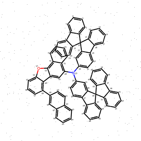 c1ccc2c(c1)-c1ccccc1C21c2ccccc2-c2ccc(N(c3ccc4c(c3)C3(c5ccccc5-c5ccccc53)c3ccccc3-4)c3cc4c(oc5cccc(-c6ccc7ccccc7c6)c54)c4ccccc34)cc21